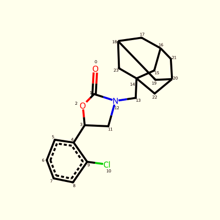 O=C1OC(c2ccccc2Cl)CN1CC12CC3CC(CC(C3)C1)C2